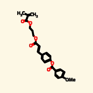 C=C(C)C(=O)OCCCOC(=O)/C=C/c1ccc(OC(=O)c2ccc(OC)cc2)cc1